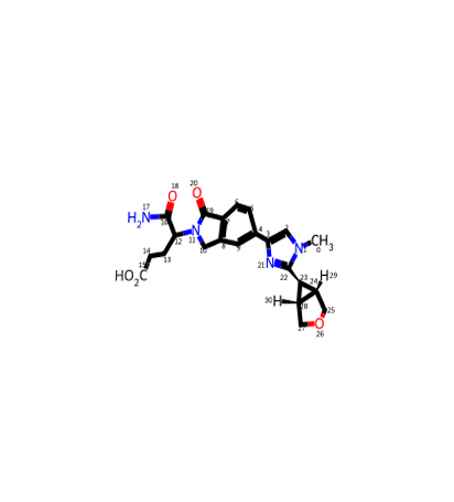 Cn1cc(-c2ccc3c(c2)CN(C(CCC(=O)O)C(N)=O)C3=O)nc1[C@H]1[C@@H]2COC[C@@H]21